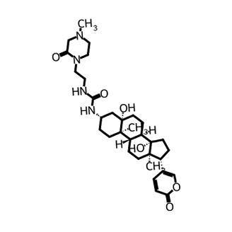 CN1CCN(CCNC(=O)N[C@H]2CC[C@]3(C)[C@H]4CC[C@]5(C)[C@@H](c6ccc(=O)oc6)CC[C@]5(O)[C@@H]4CC[C@]3(O)C2)C(=O)C1